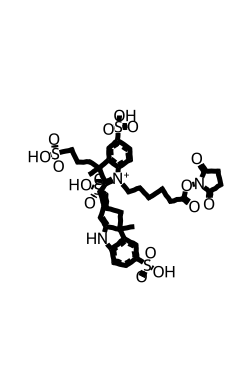 CC1(CCCS(=O)(=O)O)C(/C=C/C=C2/Nc3ccc(S(=O)(=O)O)cc3C2(C)CCCS(=O)(=O)O)=[N+](CCCCCC(=O)ON2C(=O)CCC2=O)c2ccc(S(=O)(=O)O)cc21